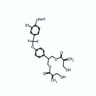 C=C(CO)C(=O)OCC(COC(=O)C(=C)CO)c1ccc(OC(F)(F)c2ccc(CCCCC)c(CC)c2)cc1